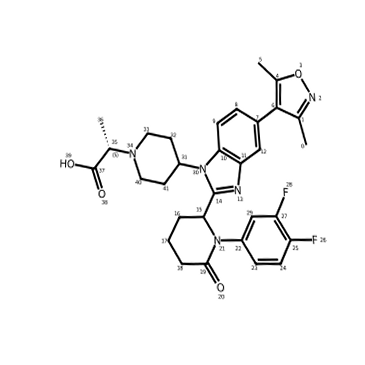 Cc1noc(C)c1-c1ccc2c(c1)nc(C1CCCC(=O)N1c1ccc(F)c(F)c1)n2C1CCN([C@@H](C)C(=O)O)CC1